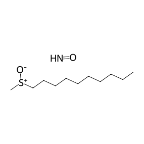 CCCCCCCCCC[S+](C)[O-].N=O